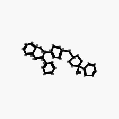 OC1(c2ccccc2)CCN(Cc2ccc(N3Cc4ccccc4N=C3c3ccccc3)cc2)CC1